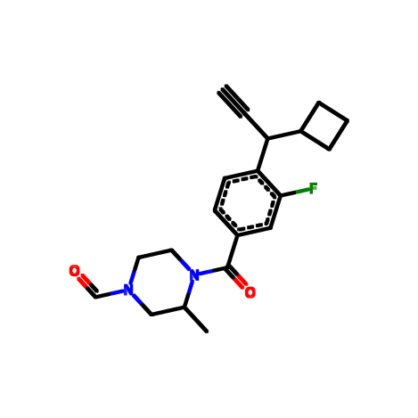 C#CC(c1ccc(C(=O)N2CCN(C=O)CC2C)cc1F)C1CCC1